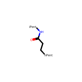 [CH2]CCCCCCC(=O)NC(C)CCC